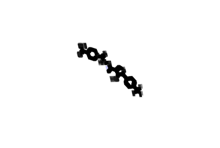 C/C(=N\NC(=S)N1CCC(C(=O)O)CC1)c1csc(-c2ccc(C(F)(F)F)cc2)c1O